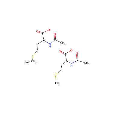 CSCCC(NC(C)=O)C(=O)[O-].CSCCC(NC(C)=O)C(=O)[O-].[Zn+2]